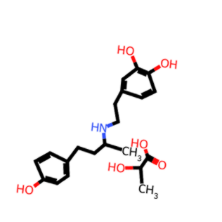 CC(CCc1ccc(O)cc1)NCCc1ccc(O)c(O)c1.CC(O)C(=O)O